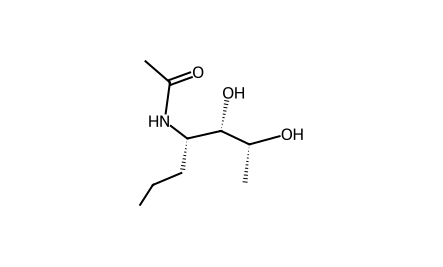 CCC[C@H](NC(C)=O)[C@H](O)[C@@H](C)O